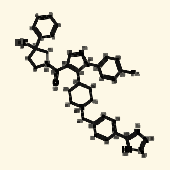 CC1(c2ccccc2)CCN(C(=O)c2cnn(-c3ccc(F)cc3)c2C2CCN(Cc3ccc(-c4nnn[nH]4)cc3)CC2)C1